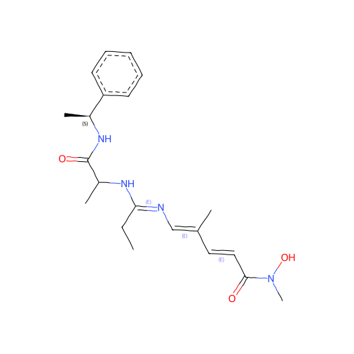 CC\C(=N/C=C(C)/C=C/C(=O)N(C)O)NC(C)C(=O)N[C@@H](C)c1ccccc1